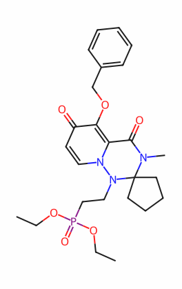 CCOP(=O)(CCN1n2ccc(=O)c(OCc3ccccc3)c2C(=O)N(C)C12CCCC2)OCC